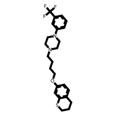 FC(F)(F)c1cccc(N2CCN(CCCCOc3ccc4c(c3)SCCC4)CC2)c1